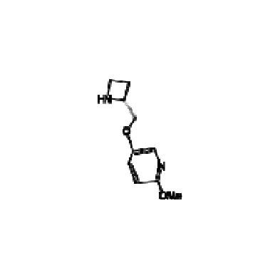 COc1ccc(OC[C@H]2CCN2)cn1